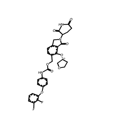 O=C1CCC(N2Cc3ccc(COC(=O)Nc4ccc(Oc5cccc(F)c5F)cc4)c(O[C@@H]4CCOC4)c3C2=O)C(=O)N1